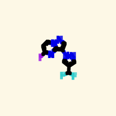 FC(F)c1cnn(-c2cnn3ccc(I)nc23)c1